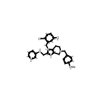 COc1ccc(CN2CCc3c(nc(COc4cccnc4)n3Cc3cc(Cl)ccc3Cl)C2)cc1